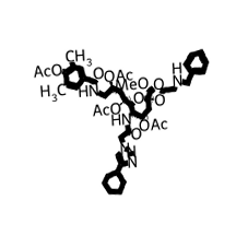 COC(=O)[C@@]1(OCCNCc2ccccc2)C[C@@H](OC(C)=O)[C@@H](NC(=O)Cn2cc(C3CCCCC3)nn2)C([C@@H](C[C@@H](CNC(=O)c2cc(C)c(OC(C)=O)c(C)c2)OC(C)=O)OC(C)=O)O1